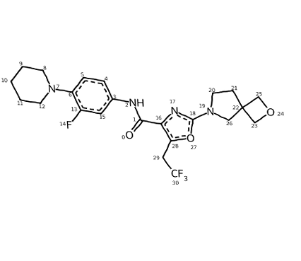 O=C(Nc1ccc(N2CCCCC2)c(F)c1)c1nc(N2CCC3(COC3)C2)oc1CC(F)(F)F